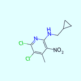 Cc1c(Cl)c(Cl)nc(NCC2CC2)c1[N+](=O)[O-]